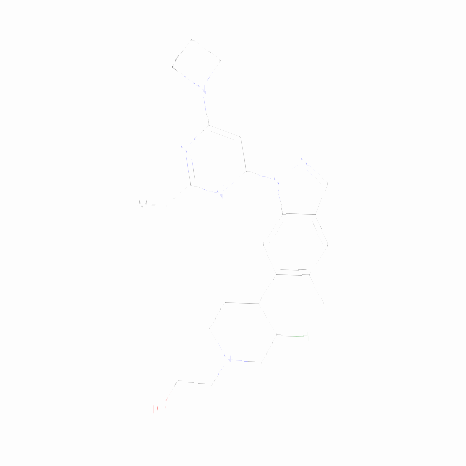 COc1nc(N2CCC2)cc(-n2ncc3cc(C)c(C4CCN(CCO)CC4F)cc32)n1